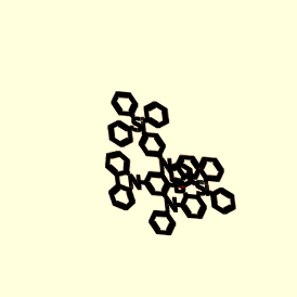 C1=CC([Si](c2ccccc2)(c2ccccc2)c2ccccc2)C2B3c4ccccc4N(c4ccc([Si](c5ccccc5)(c5ccccc5)c5ccccc5)cc4)c4cc(-n5c6ccccc6c6ccccc65)cc(c43)N(c3ccccc3)C2=C1